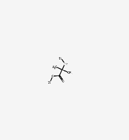 CCOC(=O)C(C)(C)[Te]CC